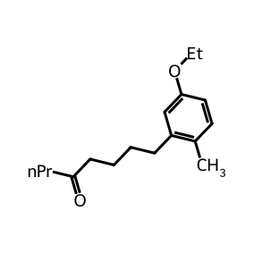 CCCC(=O)CCCCc1cc(OCC)ccc1C